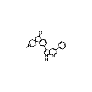 CN1CCC2(CC1)CC(=O)c1ccc(-c3c[nH]c4ncc(-c5ccccc5)cc34)cc12